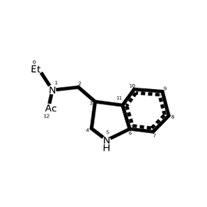 CCN(CC1CNc2ccccc21)C(C)=O